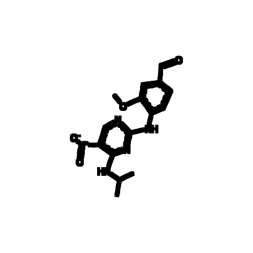 COc1cc(C=O)ccc1Nc1ncc([N+](=O)[O-])c(NC(C)C)n1